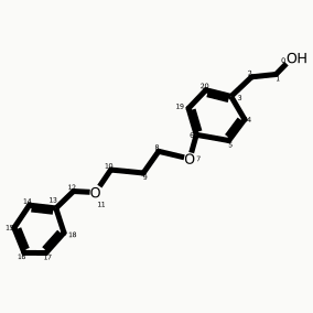 OCCc1ccc(OCCCOCc2ccccc2)cc1